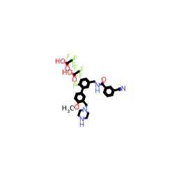 COc1ccc(-c2cc(CNC(=O)c3cccc(C#N)c3)ccc2F)cc1CN1CCNCC1.O=C(O)C(F)(F)F.O=C(O)C(F)(F)F